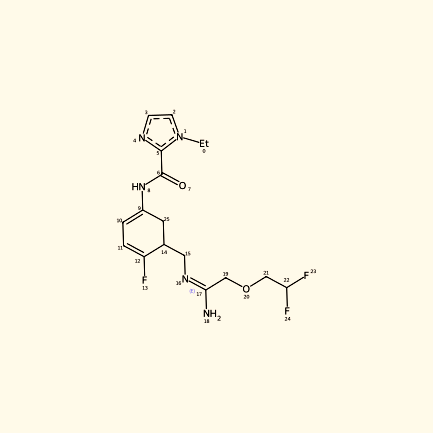 CCn1ccnc1C(=O)NC1=CC=C(F)C(C/N=C(/N)COCC(F)F)C1